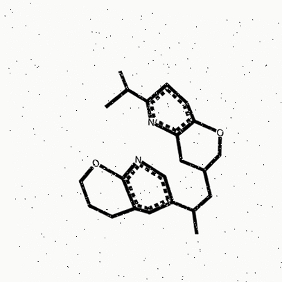 CC(C)c1ccc2c(n1)CC(CC(C)c1cnc3c(c1)CCCO3)CO2